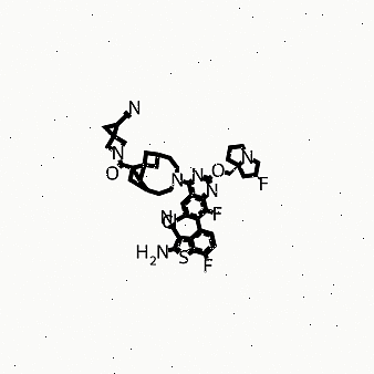 N#Cc1c(N)sc2c(F)ccc(-c3c(Cl)cc4c(N5CCC6CC7(C6)C6C(CC5)CC67C(=O)N5CC6(CC6C#N)C5)nc(OC[C@@]56CCCN5C[C@H](F)C6)nc4c3F)c12